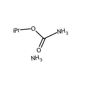 CC(C)OC(N)=O.N